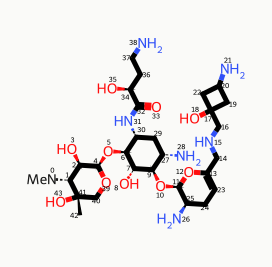 CN[C@@H]1[C@@H](O)[C@@H](O[C@@H]2[C@@H](O)[C@H](O[C@H]3OC(CNCC4(O)CC(N)C4)=CC[C@H]3N)[C@@H](N)C[C@H]2NC(=O)[C@@H](O)CCN)OC[C@]1(C)O